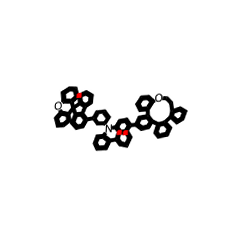 C1=CC(N(c2ccc(-c3ccc4c(c3)-c3ccccc3OCCc3ccccc3-c3ccccc3-4)cc2)c2ccccc2-c2ccccc2)CC(c2cccc3c2-c2ccccc2C32c3ccccc3Oc3ccccc32)=C1